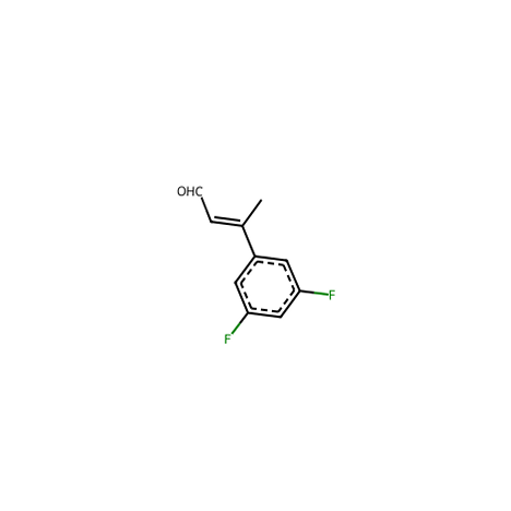 CC(=CC=O)c1cc(F)cc(F)c1